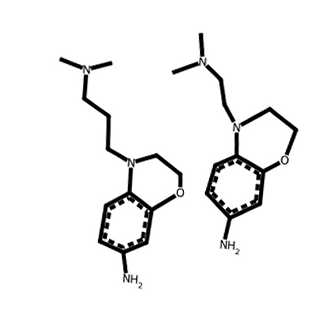 CN(C)CCCN1CCOc2cc(N)ccc21.CN(C)CCN1CCOc2cc(N)ccc21